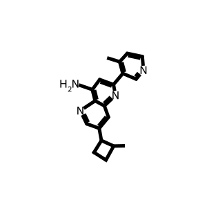 Cc1ccncc1-c1cc(N)c2ncc(C3CCC3C)cc2n1